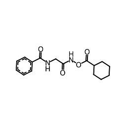 O=C(CNC(=O)c1ccccc1)NOC(=O)C1CCCCC1